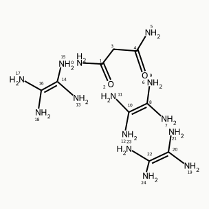 NC(=O)CC(N)=O.NC(N)=C(N)N.NC(N)=C(N)N.NC(N)=C(N)N